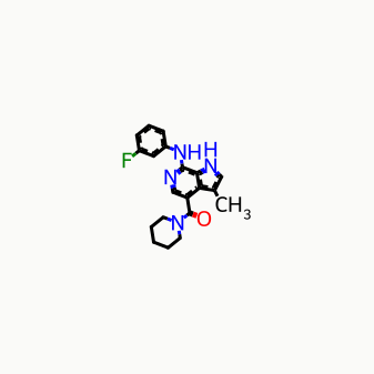 Cc1c[nH]c2c(Nc3cccc(F)c3)ncc(C(=O)N3CCCCC3)c12